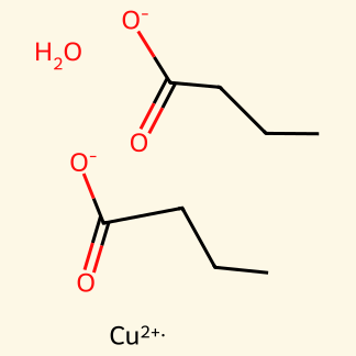 CCCC(=O)[O-].CCCC(=O)[O-].O.[Cu+2]